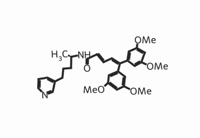 COc1cc(OC)cc(C(=C/C=C/C(=O)N[C@H](C)CCCc2cccnc2)c2cc(OC)cc(OC)c2)c1